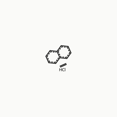 C=C.Cl.c1ccc2ccccc2c1